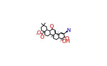 COC(=O)[C@@]12CCC3C(C(=O)C=C4[C@@]5(C)C=C(C#N)C(=O)[C@@](C)(O)C5CC[C@]43C)C1CC(C)(C)CC2